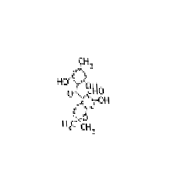 Cc1cc(O)c(C(=O)c2c(C=O)c(O)cc3c2C=CC(C)(C)O3)c(O)c1